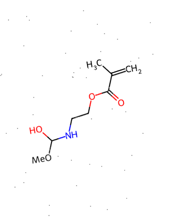 C=C(C)C(=O)OCCNC(O)OC